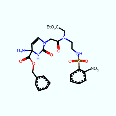 CCOC(=O)CN(CCNS(=O)(=O)c1ccccc1[N+](=O)[O-])C(=O)CN1C=CC(N)(C(=O)OCc2ccccc2)NC1=O